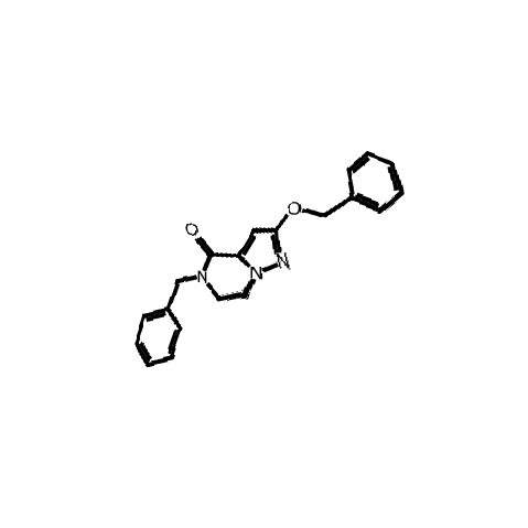 O=C1c2cc(OCc3ccccc3)nn2CCN1Cc1ccccc1